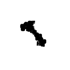 COC(=O)N[C@H]1CCC[C@@H]1[C@](CN1CCC1)(c1cccc(F)c1)C1CCN(CC2(F)CN(c3ccc(S(=O)(=O)c4ccc(C(=O)NC(C)(C)C)cc4)cc3)C2)CC1